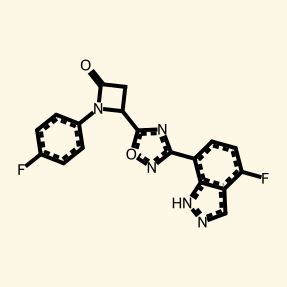 O=C1CC(c2nc(-c3ccc(F)c4cn[nH]c34)no2)N1c1ccc(F)cc1